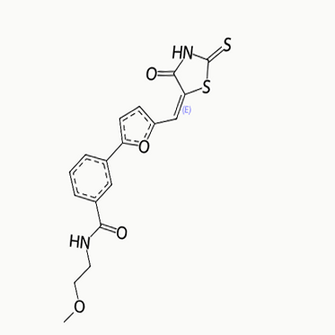 COCCNC(=O)c1cccc(-c2ccc(/C=C3/SC(=S)NC3=O)o2)c1